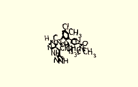 CCOc1c(C(C)N(C)c2ncnc(N)c2C(C)c2cn[nH]c2)cc(Cl)c(C)c1-c1ccc(C(=O)N(C)C)nc1